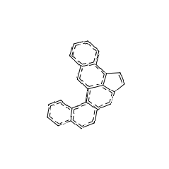 C1=Cc2c3ccccc3cc3c2c1cc1ccc2ccccc2c13